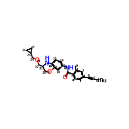 Cc1cc(C#CC(C)(C)C)ccc1C(=O)Nc1ccc2c(c1)OCC(COCC1CC1)N2